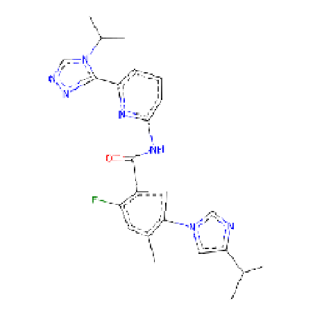 Cc1cc(F)c(C(=O)Nc2cccc(-c3nncn3C(C)C)n2)cc1-n1cnc(C(C)C)c1